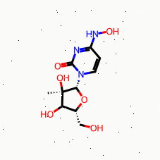 C[C@@]1(O)C(O)[C@@H](CO)O[C@H]1n1ccc(NO)nc1=O